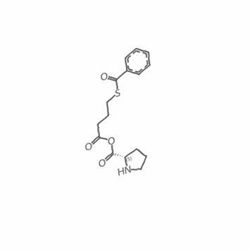 O=C(CCCSC(=O)c1ccccc1)OC(=O)[C@@H]1CCCN1